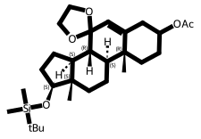 CC(=O)OC1CC[C@@]2(C)C(=CC3(OCCO3)[C@H]3[C@@H]4CC[C@H](O[Si](C)(C)C(C)(C)C)[C@@]4(C)CC[C@@H]32)C1